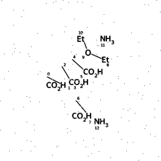 CC(=O)O.CC(=O)O.CC(=O)O.CC(=O)O.CCOCC.N.N